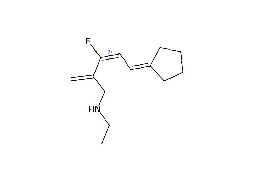 C=C(CNCC)/C(F)=C\C=C1CCCC1